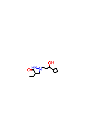 [CH2]CC1CN(CCC(O)C2CCC2)NC1=O